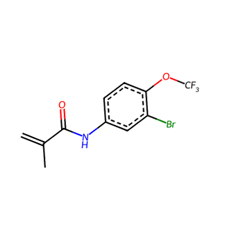 C=C(C)C(=O)Nc1ccc(OC(F)(F)F)c(Br)c1